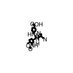 N#Cc1cnn2c(Nc3ccc(C(=O)O)cc3)c(-c3ccc4c(c3)NC(=O)OC4)[nH]c12